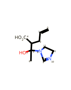 C=CCC(C(=O)O)C(C)(O)N1C=NCC1